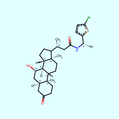 CC(C)[C@H](NC(=O)C[C@@H](C)C1CC[C@H]2[C@@H]3[C@H](O)C[C@@H]4CC(=O)CC[C@]4(C)[C@H]3CC[C@]12C)c1ccc(Br)s1